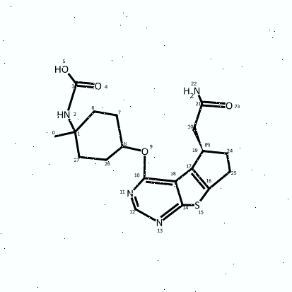 CC1(NC(=O)O)CCC(Oc2ncnc3sc4c(c23)[C@@H](CC(N)=O)CC4)CC1